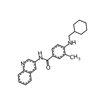 Cc1cc(C(=O)Nc2cnc3ccccc3c2)ccc1NCC1CCCCC1